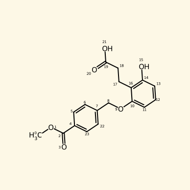 COC(=O)c1ccc(COc2cccc(O)c2CCC(=O)O)cc1